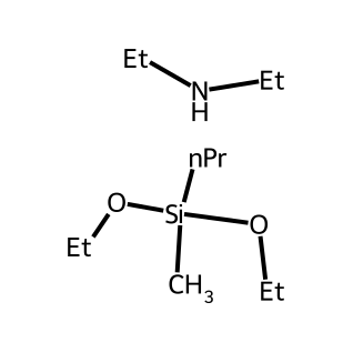 CCC[Si](C)(OCC)OCC.CCNCC